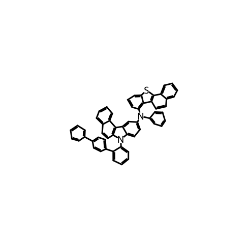 c1ccc(-c2ccc(-c3ccccc3-n3c4ccc(N(c5ccccc5)c5cccc6sc7c8ccccc8ccc7c56)cc4c4c5ccccc5ccc43)cc2)cc1